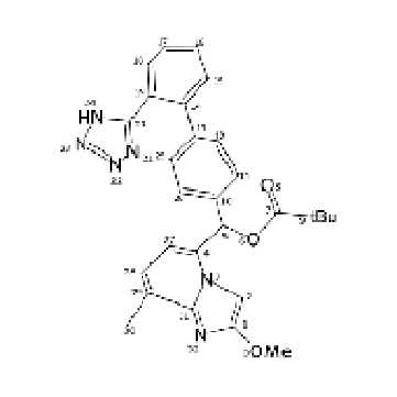 COc1cn2c(C(OC(=O)C(C)(C)C)c3ccc(-c4ccccc4-c4nnn[nH]4)cc3)ccc(C)c2n1